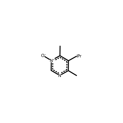 Cc1nc[n+]([O-])c(C)c1C(C)C